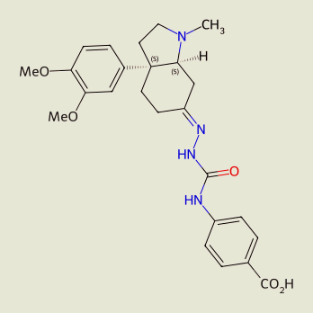 COc1ccc([C@@]23CCC(=NNC(=O)Nc4ccc(C(=O)O)cc4)C[C@@H]2N(C)CC3)cc1OC